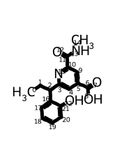 CCC(c1cc(C(=O)O)cc(C(=O)NC)n1)c1ccccc1O